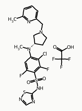 Cc1cccc(CN2CC[C@H](N(C)c3cc(F)c(S(=O)(=O)Nc4ncns4)c(F)c3Cl)C2)n1.O=C(O)C(F)(F)F